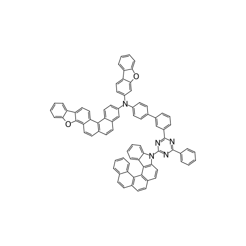 c1ccc(-c2nc(-c3cccc(-c4ccc(N(c5ccc6c(ccc7ccc8c(ccc9c%10ccccc%10oc98)c76)c5)c5ccc6c(c5)oc5ccccc56)cc4)c3)nc(-n3c4ccccc4c4c5c(ccc6ccc7ccccc7c65)ccc43)n2)cc1